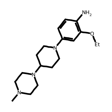 CCOc1cc(N2CCC(N3CCN(C)CC3)CC2)ccc1N